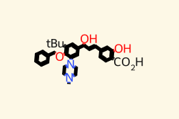 CN1CCN(c2cc(C(O)/C=C/c3ccc(C(=O)O)c(O)c3)cc(C(C)(C)C)c2OCc2ccccc2)CC1